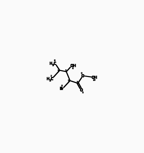 CC(C)C(O)C(Br)C(=O)OO